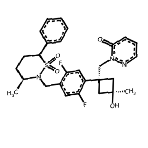 C[C@H]1CCC(c2ccccc2)S(=O)(=O)N1Cc1cc(F)c([C@]2(Cn3ncccc3=O)C[C@](C)(O)C2)cc1F